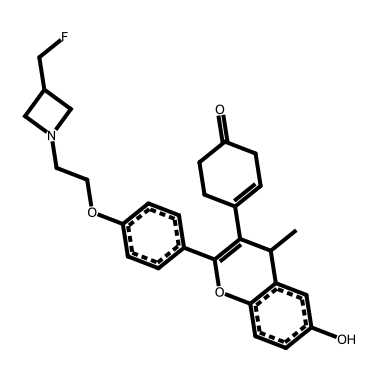 CC1C(C2=CCC(=O)CC2)=C(c2ccc(OCCN3CC(CF)C3)cc2)Oc2ccc(O)cc21